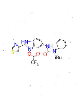 CCC(C)N(C(=O)Nc1ccc2[nH]c(-c3cscn3)[n+](OC(=O)C(F)(F)F)c2c1)c1ccccc1